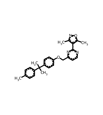 Cc1ccc(C(C)(C)c2ccc(OCc3ccnc(-c4c(C)noc4C)n3)cc2)cc1